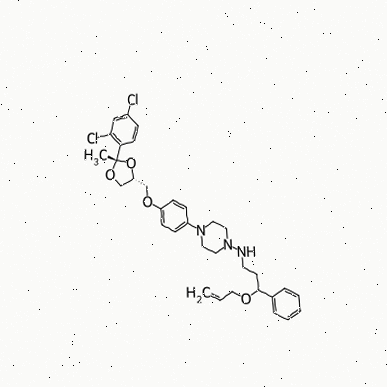 C=CCOC(CCNN1CCN(c2ccc(OC[C@@H]3CO[C@](C)(c4ccc(Cl)cc4Cl)O3)cc2)CC1)c1ccccc1